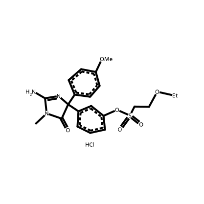 CCOCCS(=O)(=O)Oc1cccc(C2(c3ccc(OC)cc3)N=C(N)N(C)C2=O)c1.Cl